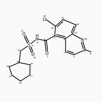 Cc1ccc2c(C(=O)NS(=O)(=O)CC3CCCCC3)c(Cl)ccc2n1